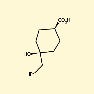 CC(C)C[C@]1(O)CC[C@@H](C(=O)O)CC1